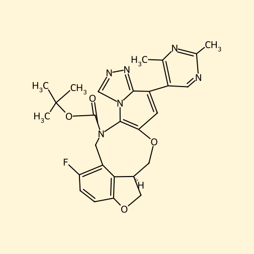 Cc1ncc(-c2cc3c(n4cnnc24)N(C(=O)OC(C)(C)C)Cc2c(F)ccc4c2[C@H](CO4)CO3)c(C)n1